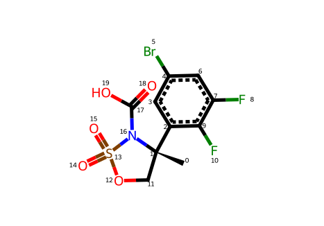 C[C@@]1(c2cc(Br)cc(F)c2F)COS(=O)(=O)N1C(=O)O